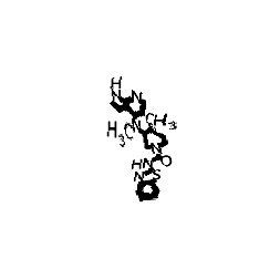 C[C@@H]1CCN(C(=O)Nc2nc3ccccc3s2)CC1N(C)c1ccnc2[nH]ccc12